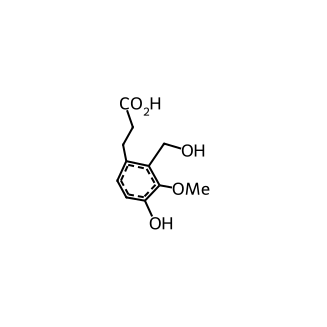 COc1c(O)ccc(CCC(=O)O)c1CO